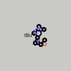 C=C1C2C(CCc3cc4c(cc3-c3cc(C(C)(C)C)cc[n+]31)c1cccc3c5ccc6oc7ccccc7c6c5n4c13)c1ccccc1-c1cccc[n+]12